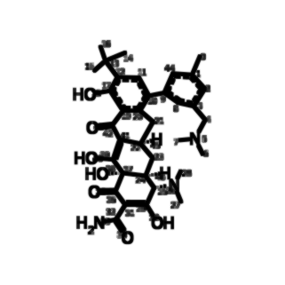 Cc1cc(CN(C)C)cc(-c2cc(C(C)(C)C)c(O)c3c2C[C@H]2C[C@H]4[C@H](N(C)C)C(O)=C(C(N)=O)C(=O)[C@@]4(O)C(O)=C2C3=O)c1